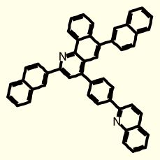 c1ccc2cc(-c3cc(-c4ccc(-c5ccc6ccccc6n5)cc4)c4cc(-c5ccc6ccccc6c5)c5ccccc5c4n3)ccc2c1